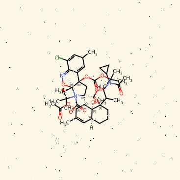 CC(=O)O[C@H]1C(C)=C[C@@H]2CCC[C@](C)(C(C)CN(C(C)=O)C3CC3)[C@]2(O)[C@H]1[C@]1(C(=O)O)C[C@@]2(OC(=O)OC(C)(C)C)C3=CC(C)C=C(Cl)C3=NO[C@H]2[N+]1(C(=O)[O-])C(C)(C)C